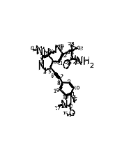 CNc1ncc(C#Cc2ccc3nc(OC)n(C)c3c2)c2cc(C3(C(N)=O)CC3)ncc12